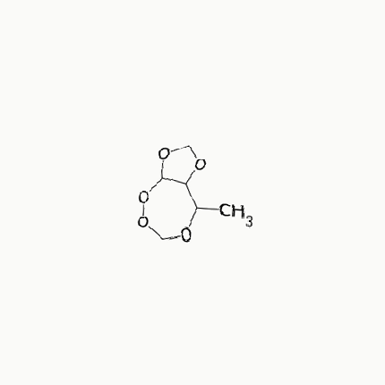 CC1OCOOC2OCOC12